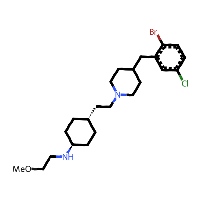 COCCN[C@H]1CC[C@H](CCN2CCC(Cc3cc(Cl)ccc3Br)CC2)CC1